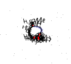 CCC1OC(=O)CC[C@@H](O)[C@H](O)C[C@H](O)C[C@]2(O)C[C@H](O)[C@](C)(O)[C@H](CC(O[C@@H]3O[C@H](C)[C@@H](O)[C@H](O)[C@@H]3O)/C=C/C=C/C=C/C=C/C=C/C(C)C(O[C@H]3C[C@@H](O)[C@@H](OC)[C@H](C)O3)C1C)O2